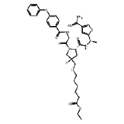 CCOC(=O)CCCCCOC[C@@]1(F)C[C@@H](C(=O)N[C@H](C)c2cc(C(=N)N)cs2)N(C(=O)CNC(=O)c2ccc(Oc3ccccc3)cc2)C1